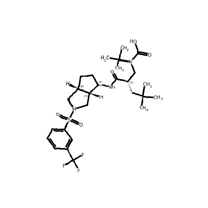 CC(C)(C)C[C@@H](CN(C(=O)O)C(C)(C)C)C(=O)N[C@@H]1CC[C@H]2CN(S(=O)(=O)c3cccc(C(F)(F)F)c3)C[C@H]21